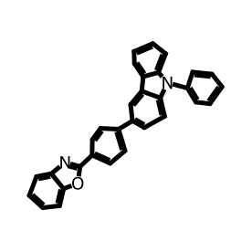 c1ccc(-n2c3ccccc3c3cc(-c4ccc(-c5nc6ccccc6o5)cc4)ccc32)cc1